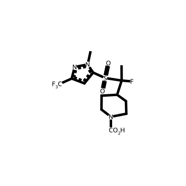 Cn1nc(C(F)(F)F)cc1S(=O)(=O)C(C)(F)C1CCN(C(=O)O)CC1